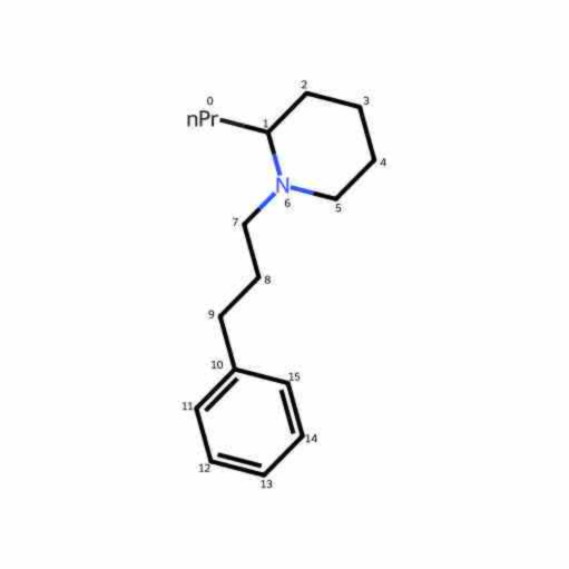 [CH2]CCC1CCCCN1CCCc1ccccc1